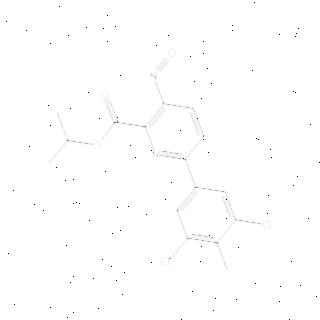 Cc1c(Cl)cc(-c2ccc(N=O)c(C(=O)OC(C)C)n2)cc1Cl